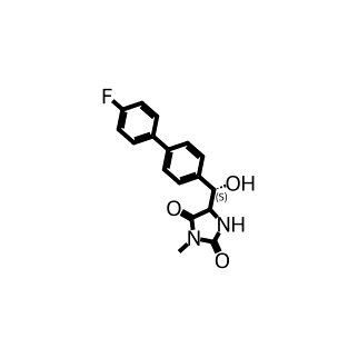 CN1C(=O)NC([C@@H](O)c2ccc(-c3ccc(F)cc3)cc2)C1=O